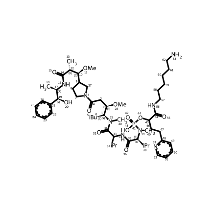 CC[C@H](C)[C@@H]([C@@H](CC(=O)N1CCC([C@H](OC)[C@@H](C)C(=O)N[C@H](C)[C@@H](O)c2ccccc2)C1)OC)N(C)C(=O)C(NC(=O)[C@H](C(C)C)N(C)P(=O)(O)OC(CCc1ccccn1)C(=O)NCCCCCCN)C(C)C